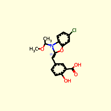 COC(C)N1/C(=C/c2ccc(O)c(C(=O)O)c2)Oc2cc(Cl)ccc21